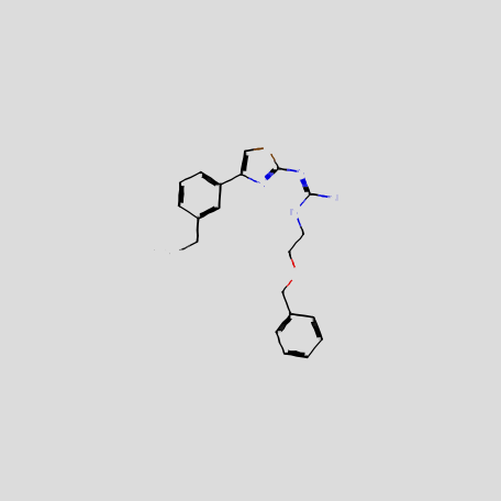 CC(=O)NCc1cccc(-c2csc(N=C(N)NCCOCc3ccccc3)n2)c1